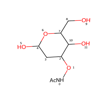 CC(=O)NOC1CC(O)OC(CO)C1O